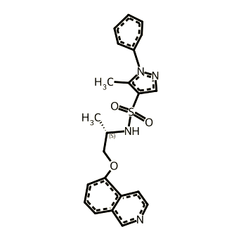 Cc1c(S(=O)(=O)N[C@@H](C)COc2cccc3cnccc23)cnn1-c1ccccc1